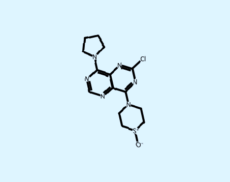 [O-][S+]1CCN(c2nc(Cl)nc3c(N4CCCC4)ncnc23)CC1